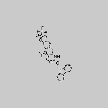 CC(C)OC(=O)C(Cc1ccc(OS(=O)(=O)C(F)(F)F)cc1)NC(=O)OCC1c2ccccc2-c2ccccc21